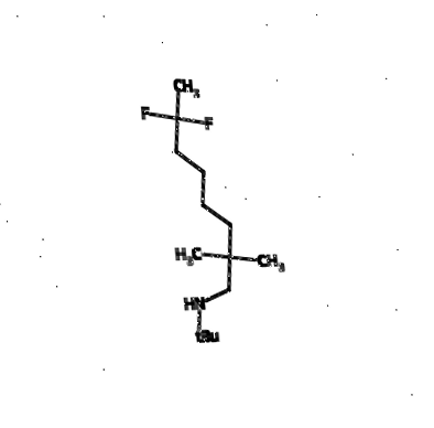 CC(F)(F)CCCCC(C)(C)CNC(C)(C)C